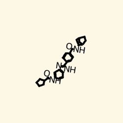 O=C(NC1CC2CCC1C2)c1ccc(-c2nc3cc(NC(=O)C4CCCC4)ccc3[nH]2)cc1